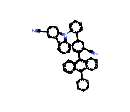 N#Cc1ccc2c(c1)c1ccccc1n2-c1ccccc1-c1ccc(-c2c3ccccc3c(-c3ccccc3)c3ccccc23)c(C#N)c1